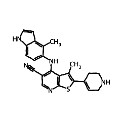 Cc1c(Nc2c(C#N)cnc3sc(C4=CCNCC4)c(C)c23)ccc2[nH]ccc12